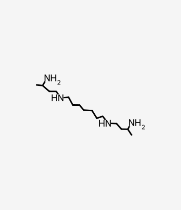 CC(N)CCNCCCCCCCNCCC(C)N